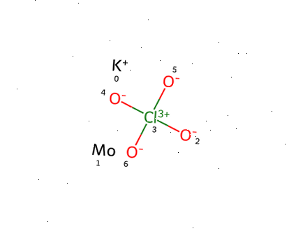 [K+].[Mo].[O-][Cl+3]([O-])([O-])[O-]